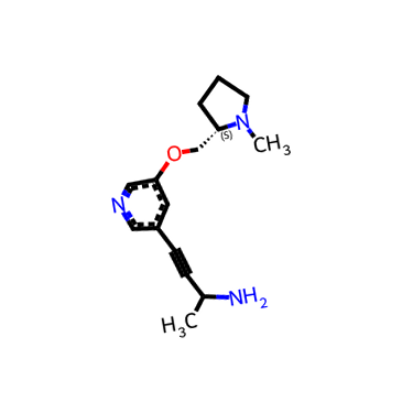 CC(N)C#Cc1cncc(OC[C@@H]2CCCN2C)c1